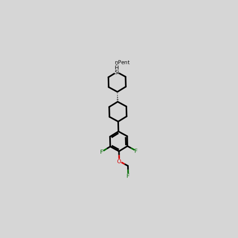 CCCCC[Si@H]1CC[C@H](C2CCC(c3cc(F)c(OCF)c(F)c3)CC2)CC1